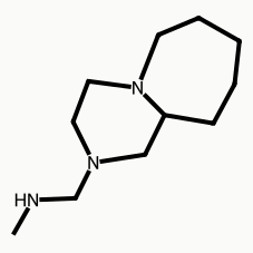 CNCN1CCN2CCCCCC2C1